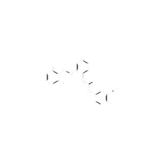 O=C(Nc1ccc(Cl)c(C(F)(F)F)c1)Nc1ccccc1/N=N/c1c(F)cccc1F